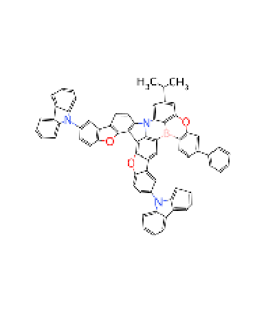 CC(C)c1cc2c3c(c1)-n1c4ccc5c6cc(-n7c8ccccc8c8ccccc87)ccc6oc5c4c4c5oc6ccc(-n7c8ccccc8c8ccccc87)cc6c5cc(c41)B3c1ccc(-c3ccccc3)cc1O2